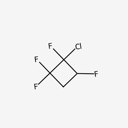 FC1CC(F)(F)C1(F)Cl